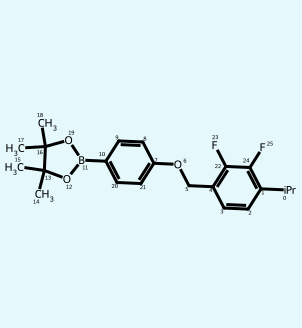 CC(C)c1ccc(COc2ccc(B3OC(C)(C)C(C)(C)O3)cc2)c(F)c1F